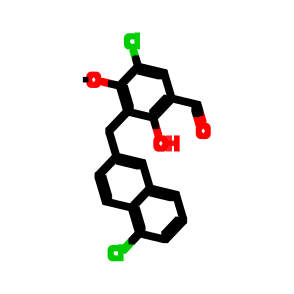 [O]c1c(Cl)cc(C=O)c(O)c1Cc1ccc2c(Cl)cccc2c1